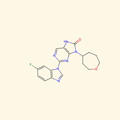 O=c1[nH]c2cnc(-n3cnc4ccc(F)cc43)nc2n1C1CCCOCC1